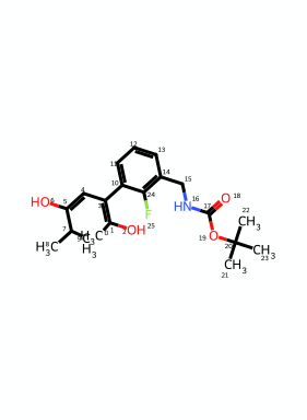 C/C(O)=C(\C=C(\O)C(C)C)c1cccc(CNC(=O)OC(C)(C)C)c1F